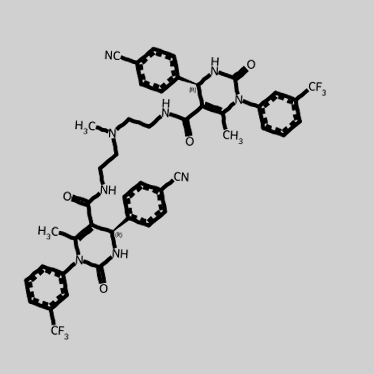 CC1=C(C(=O)NCCN(C)CCNC(=O)C2=C(C)N(c3cccc(C(F)(F)F)c3)C(=O)N[C@@H]2c2ccc(C#N)cc2)[C@@H](c2ccc(C#N)cc2)NC(=O)N1c1cccc(C(F)(F)F)c1